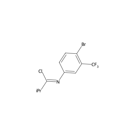 CC(C)/C(Cl)=N/c1ccc(Br)c(C(F)(F)F)c1